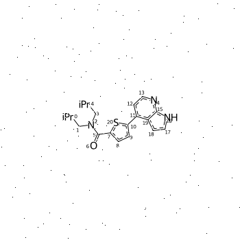 CC(C)CN(CC(C)C)C(=O)c1ccc(-c2ccnc3[nH]ccc23)s1